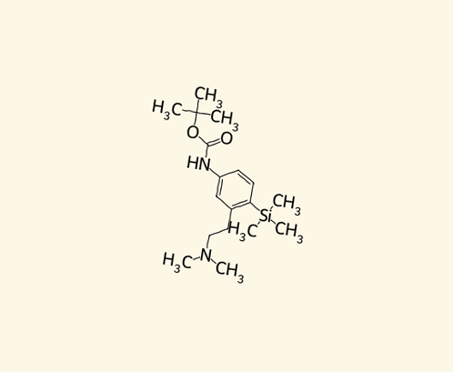 CN(C)CCc1cc(NC(=O)OC(C)(C)C)ccc1[Si](C)(C)C